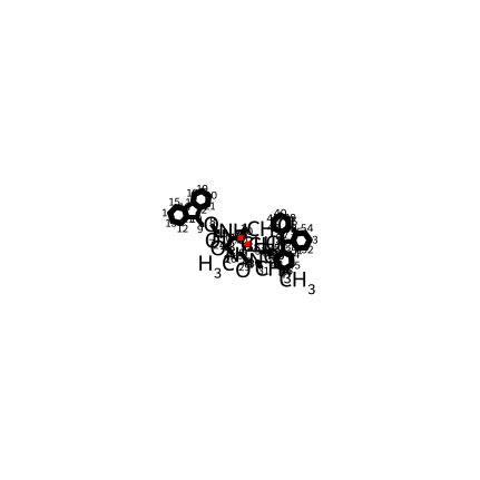 CC[C@H](C)[C@H](NC(=O)OCC1c2ccccc2-c2ccccc21)C(=O)N(C)[C@H](C(=O)N(C)CC(=O)OC(c1ccccc1)(c1ccc(C)cc1)c1ccccc1Cl)C(C)C